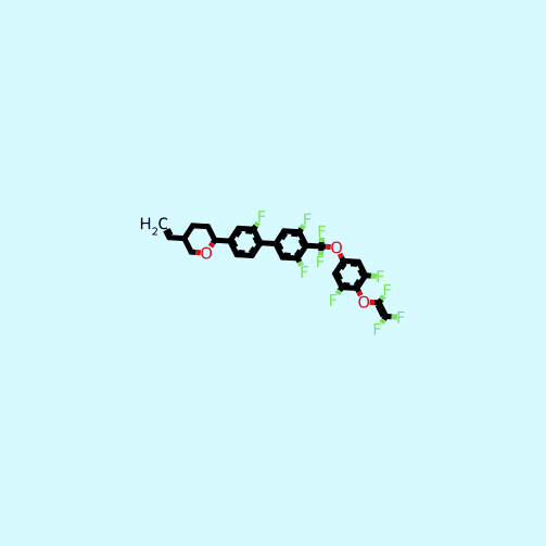 C=CC1CCC(c2ccc(-c3cc(F)c(C(F)(F)Oc4cc(F)c(OC(F)=C(F)F)c(F)c4)c(F)c3)c(F)c2)OC1